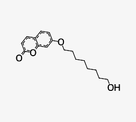 O=c1ccc2ccc(OCCCCCCCCO)cc2o1